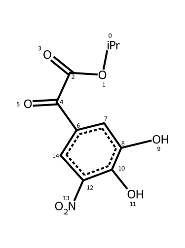 CC(C)OC(=O)C(=O)c1cc(O)c(O)c([N+](=O)[O-])c1